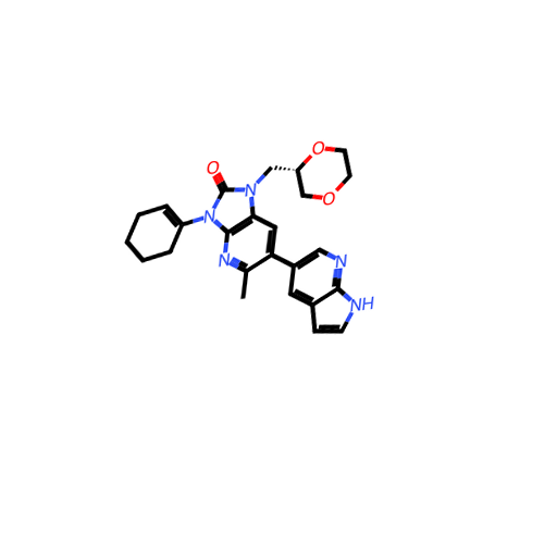 Cc1nc2c(cc1-c1cnc3[nH]ccc3c1)n(C[C@H]1COCCO1)c(=O)n2C1=CCCCC1